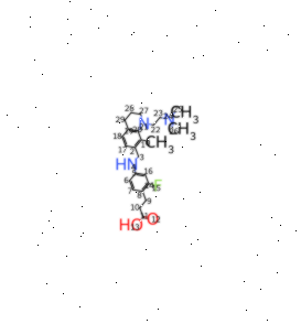 Cc1c(CNc2ccc(CCC(=O)O)c(F)c2)ccc2c1N(CCN(C)C)CCC2